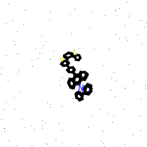 c1ccc2c(c1)sc1ccc3sc4ccc(-c5ccc(-c6c7ccccc7c(-n7c8ccccc8c8ccccc87)c7ccccc67)cc5)cc4c3c12